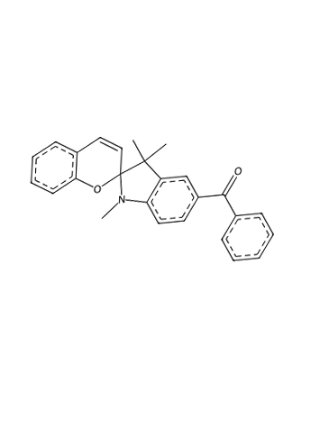 CN1c2ccc(C(=O)c3ccccc3)cc2C(C)(C)C12C=Cc1ccccc1O2